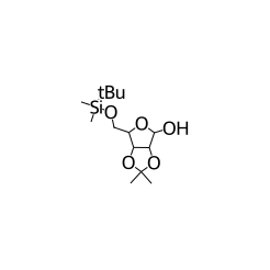 CC1(C)OC2C(O)OC(CO[Si](C)(C)C(C)(C)C)C2O1